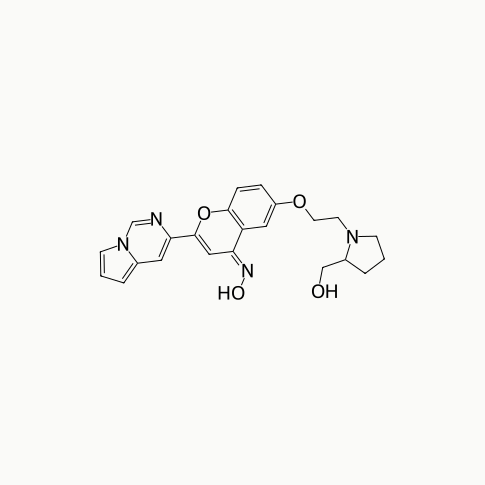 OCC1CCCN1CCOc1ccc2oc(-c3cc4cccn4cn3)cc(=NO)c2c1